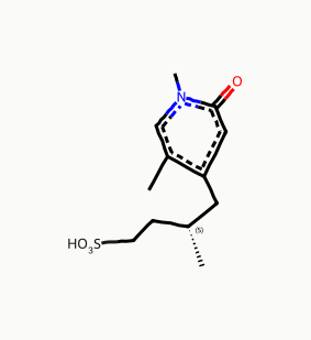 Cc1cn(C)c(=O)cc1C[C@H](C)CCS(=O)(=O)O